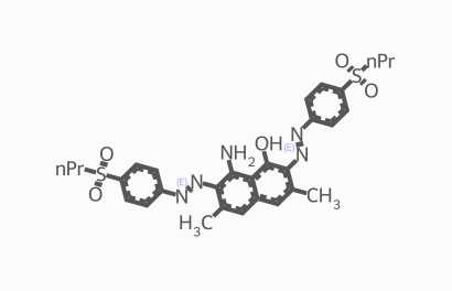 CCCS(=O)(=O)c1ccc(/N=N/c2c(C)cc3cc(C)c(/N=N/c4ccc(S(=O)(=O)CCC)cc4)c(O)c3c2N)cc1